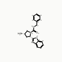 N[C@H]1C[C@@H](c2nc3ccccc3o2)N(C(=O)OCc2ccccc2)C1